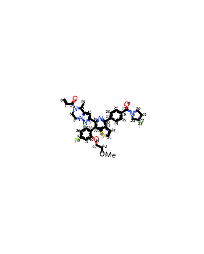 C=CC(=O)N1CCn2nc(-c3nc(-c4ccc(C(=O)N5CCC(F)C5)cc4)c4ccsc4c3-c3c(F)cc(F)cc3OCCOC)cc2C1C